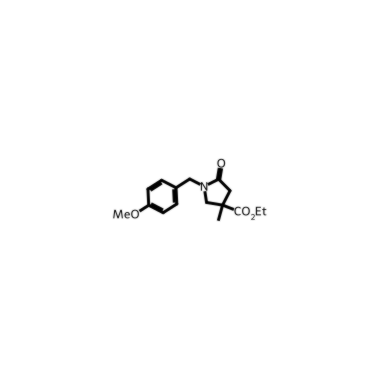 CCOC(=O)C1(C)CC(=O)N(Cc2ccc(OC)cc2)C1